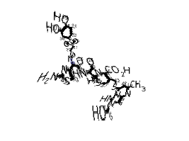 CC1=NC2=CN(CO)NN2C(SCC2=C(C(=O)O)N3C(=O)[C@@H](NC(=O)/C(=N\OCCS(=O)(=O)c4ccc(O)c(O)c4)c4csc(N)n4)[C@H]3SC2)=C1